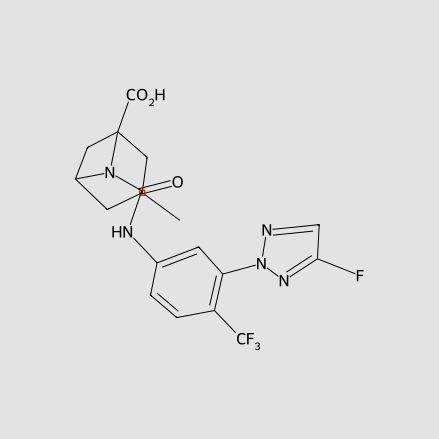 CC1CC2CC(C(=O)O)(C1)N2C(=O)Nc1ccc(C(F)(F)F)c(-n2ncc(F)n2)c1